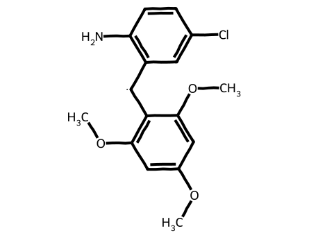 COc1cc(OC)c([CH]c2cc(Cl)ccc2N)c(OC)c1